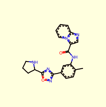 Cc1ccc(-c2noc(C3CCCN3)n2)cc1NC(=O)c1cnc2ccccn12